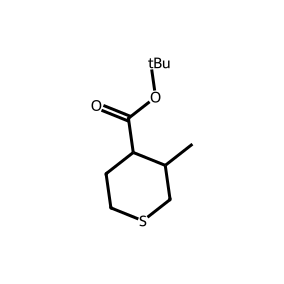 CC1CSCCC1C(=O)OC(C)(C)C